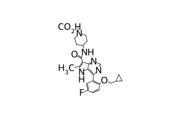 Cc1[nH]c2c(-c3cc(F)ccc3OCC3CC3)ncnc2c1C(=O)NC1CCN(C(=O)O)CC1